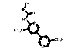 CCNC(=O)Nc1ncc(-c2cncc(C(=O)O)c2)cc1C(=O)O